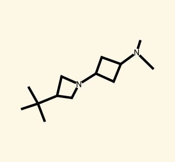 CN(C)C1CC(N2CC(C(C)(C)C)C2)C1